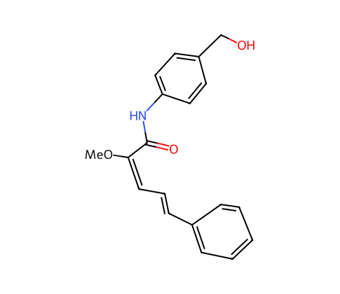 COC(=CC=Cc1ccccc1)C(=O)Nc1ccc(CO)cc1